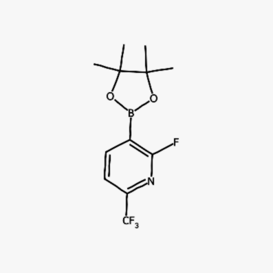 CC1(C)OB(c2ccc(C(F)(F)F)nc2F)OC1(C)C